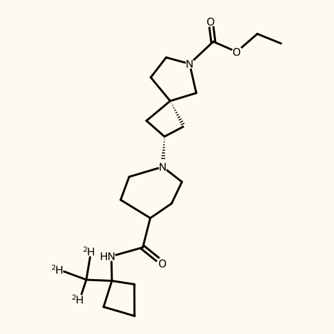 [2H]C([2H])([2H])C1(NC(=O)C2CCN([C@H]3C[C@@]4(CCN(C(=O)OCC)C4)C3)CC2)CCC1